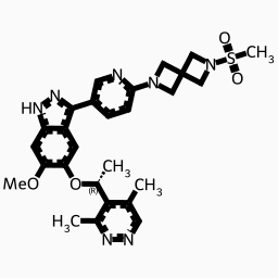 COc1cc2[nH]nc(-c3ccc(N4CC5(C4)CN(S(C)(=O)=O)C5)nc3)c2cc1O[C@H](C)c1c(C)cnnc1C